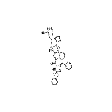 N=C(N)NCCC[C@@H](NC(=O)CN1C(=O)C(NS(=O)(=O)Cc2ccccc2)N=C(c2ccccc2)c2ccccc21)C(=O)c1nccs1